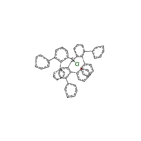 Cl[Si](c1cccc(-c2ccccc2)c1-c1ccccc1)(c1cccc(-c2ccccc2)c1-c1ccccc1)c1cccc(-c2ccccc2)c1-c1ccccc1